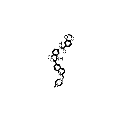 CN1CCN(Cc2ccc3cc(C(=O)Nc4cc(NC(=O)c5ccc6c(c5)OCCO6)ccc4Cl)ccc3n2)CC1